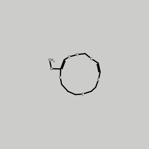 COC1=CCCCCC=CCCCCCCCC1